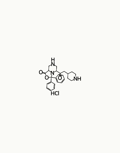 Cl.O=C(CC1CCNCC1)C1CNCC2C(=O)OC(c3ccccc3)(c3ccccc3)N12